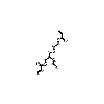 C=CC(=O)SCCSCC(CSC(=O)C=C)SCC